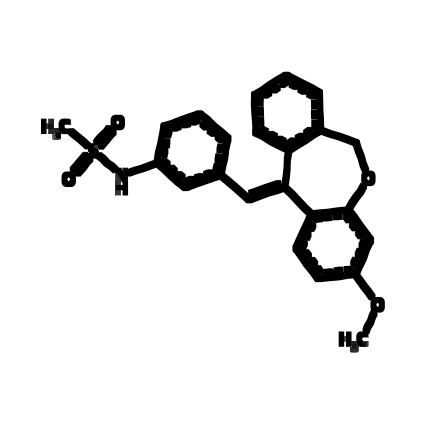 COc1ccc2c(c1)OCc1ccccc1/C2=C\c1cccc(NS(C)(=O)=O)c1